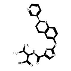 CC(C)C(NC(=O)c1cnc(Oc2ccc3c(c2)CC[C@@H](c2cccnc2)O3)s1)C(=O)O